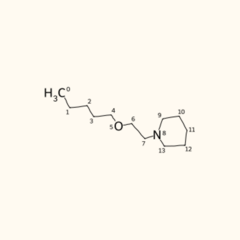 CCCCCOCCN1CCCCC1